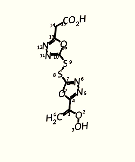 C=C(OO)c1nnc(SSc2nnc(CC(=O)O)o2)o1